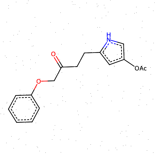 CC(=O)Oc1c[nH]c(CCC(=O)COc2ccccc2)c1